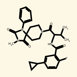 CC(C)C(NC(=O)c1cc(C2CC2)ccc1F)C(=O)N1CCC2(CC1)C(=O)N(C)C(=O)N2c1ccccc1